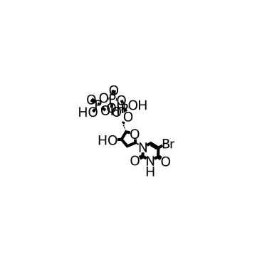 O=c1[nH]c(=O)n([C@@H]2CC(O)[C@H](COP(=O)(O)OP(=O)(O)OP(=O)(O)O)O2)cc1Br